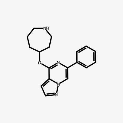 c1ccc(-c2cn3nccc3c(OC3CCCNCC3)n2)cc1